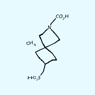 C.O=C(O)N1CC2(CC(S(=O)(=O)O)C2)C1